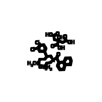 CN(C)CCC(CN(CCN)C(=O)c1cccc2ccccc12)c1ccc(Cl)c(Cl)c1.O=C(O)CC(O)(CC(=O)O)C(=O)O